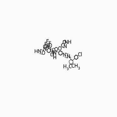 CN(c1ccc(S(=O)(=O)NC(=O)c2ccc(N3CCN(CC4=C(c5ccc(Cl)cc5)CC(C)(C)CC4)CC3)cc2Oc2cnc3[nH]ccc3c2)cc1S(=O)(=O)C(F)(F)F)C1CNCCO1